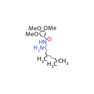 COc1cc(C(=O)NCC(N)CC=C(C)CCC=C(C)C)cc(OC)c1OC